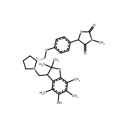 Cc1c(C)c2c(c(C)c1O)C(CN1CCC[C@@H]1COc1ccc(C3SC(=O)N(C)C3=O)cc1)C(C)(C)O2